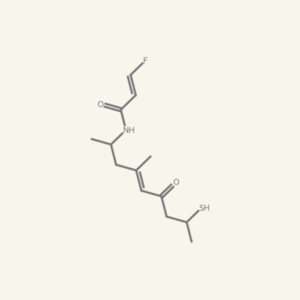 C/C(=C\C(=O)CC(C)S)CC(C)NC(=O)/C=C/F